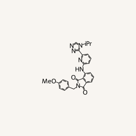 COc1ccc(CN2C(=O)c3cccc(Nc4cccc(-c5nncn5C(C)C)n4)c3C2=O)cc1